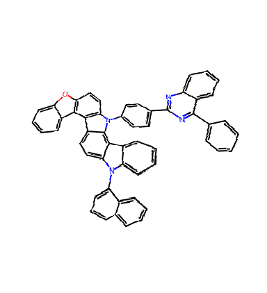 c1ccc(-c2nc(-c3ccc(-n4c5ccc6oc7ccccc7c6c5c5ccc6c(c7ccccc7n6-c6cccc7ccccc67)c54)cc3)nc3ccccc23)cc1